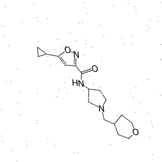 O=C(NC1CCN(CC2CCOCC2)C1)c1cc(C2CC2)on1